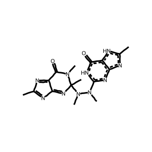 CC1=NC2=NC(C)(N(C)N(C)c3nc4nc(C)[nH]c4c(=O)[nH]3)N(C)C(=O)C2=N1